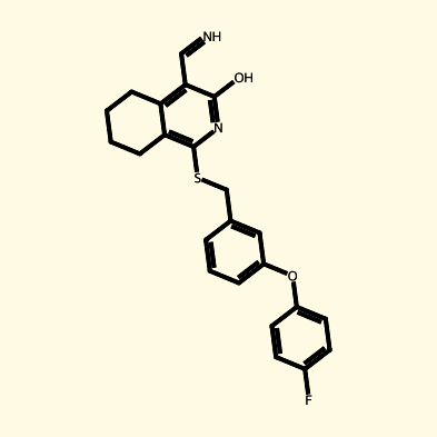 N=Cc1c(O)nc(SCc2cccc(Oc3ccc(F)cc3)c2)c2c1CCCC2